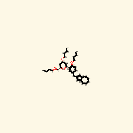 CCCCOC[C@@H]1C[C@H](OCCCC)C[C@H](c2cc(Cc3cc4cccccc-4c3)ccc2OCCCC)O1